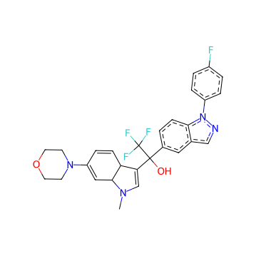 CN1C=C(C(O)(c2ccc3c(cnn3-c3ccc(F)cc3)c2)C(F)(F)F)C2C=CC(N3CCOCC3)=CC21